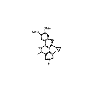 COc1cc2nc(C3CC3)nc(NC(C)c3cc(C)cc(F)c3)c2cc1OC